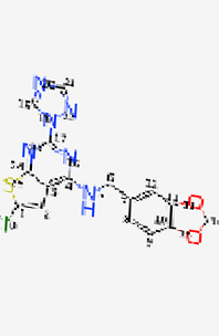 Clc1cc2c(NCc3ccc4c(c3)OCO4)nc(-n3cncn3)nc2s1